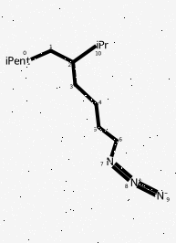 CCCC(C)CC(CCCCN=[N+]=[N-])C(C)C